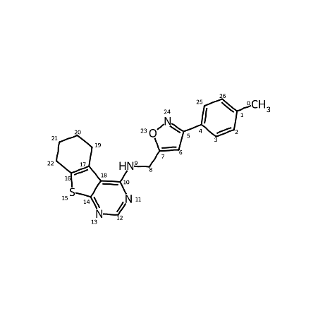 Cc1ccc(-c2cc(CNc3ncnc4sc5c(c34)CCCC5)on2)cc1